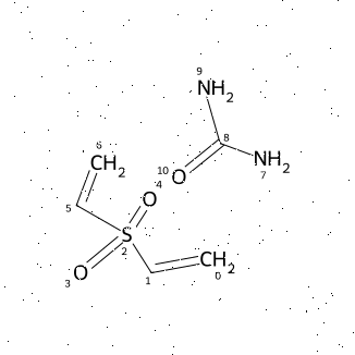 C=CS(=O)(=O)C=C.NC(N)=O